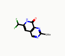 CSc1ncc2cc(C(F)F)[nH]c(=O)c2n1